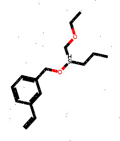 C=Cc1cccc(CO[SiH](CCC)COCC)c1